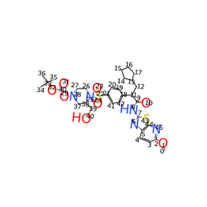 COc1ccc2nc(NC(=O)C(CC3CCCC3)c3ccc(S(=O)(=O)N4CCN(OC(=O)OC(C)(C)C)CC4CO)cc3)sc2n1